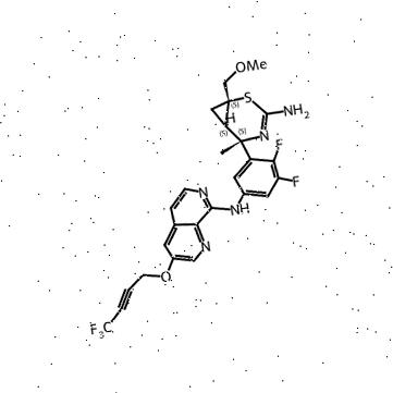 COC[C@]12C[C@H]1[C@@](C)(c1cc(Nc3nccc4cc(OCC#CC(F)(F)F)cnc34)cc(F)c1F)N=C(N)S2